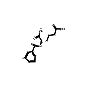 O=C(O)CCC[C@H](NC(=O)c1ccccc1)C(=O)O